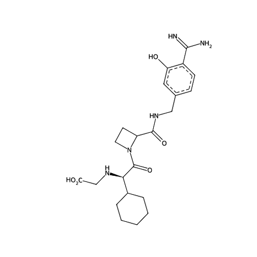 N=C(N)c1ccc(CNC(=O)C2CCN2C(=O)[C@H](NCC(=O)O)C2CCCCC2)cc1O